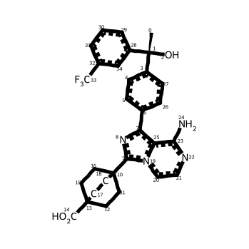 C[C@@](O)(c1ccc(-c2nc(C34CCC(C(=O)O)(CC3)CC4)n3ccnc(N)c23)cc1)c1cccc(C(F)(F)F)c1